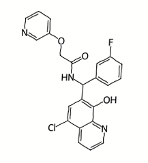 O=C(COc1cccnc1)NC(c1cccc(F)c1)c1cc(Cl)c2cccnc2c1O